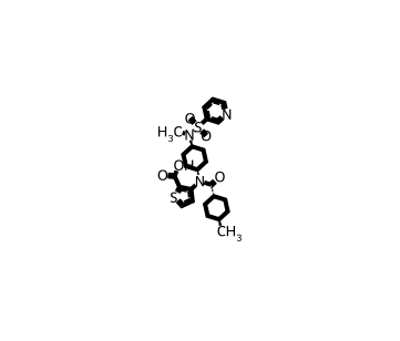 CN([C@H]1CC[C@H](N(c2ccsc2C(=O)O)C(=O)[C@H]2CC[C@H](C)CC2)CC1)S(=O)(=O)c1cccnc1